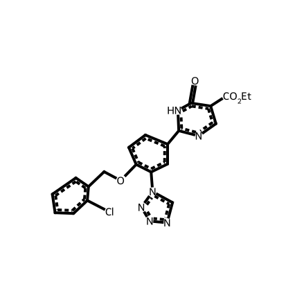 CCOC(=O)c1cnc(-c2ccc(OCc3ccccc3Cl)c(-n3cnnn3)c2)[nH]c1=O